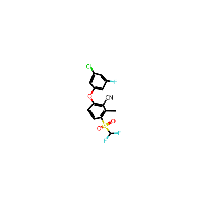 Cc1c(S(=O)(=O)C(F)F)ccc(Oc2cc(F)cc(Cl)c2)c1C#N